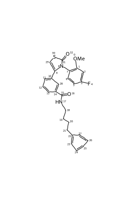 COc1cc(F)ccc1-n1c(-c2cccc(C(=O)NCCCCc3ccccc3)c2)csc1=O